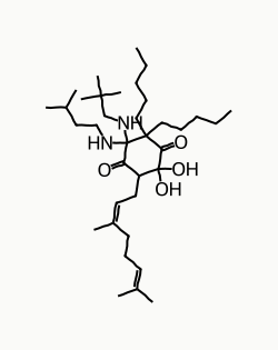 CCCCCC1(CCCCC)C(=O)C(O)(O)C(CC=C(C)CCC=C(C)C)C(=O)C1(NCCC(C)C)NCC(C)(C)C